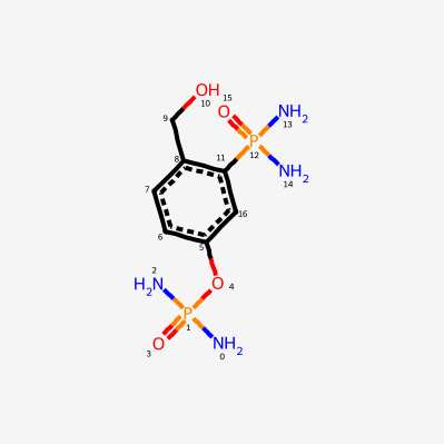 NP(N)(=O)Oc1ccc(CO)c(P(N)(N)=O)c1